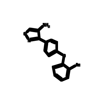 CC(=O)c1ccccc1Oc1ccc(-c2nocc2N)cc1